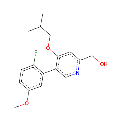 COc1ccc(F)c(-c2cnc(CO)cc2OCC(C)C)c1